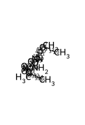 CCCCCC[C@@H](C)Oc1ccc(-c2cnc(OC(=O)c3cc([N+](=O)[O-])c(O[C@H](C)CCCCCC)cc3N)cn2)cc1